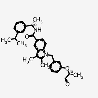 Cc1c(C)n(Cc2cccc(O[C@@H](C)C=O)c2)c2ccc(C(=O)N[C@@H](C)c3cccc(C(C)C)c3)cc12